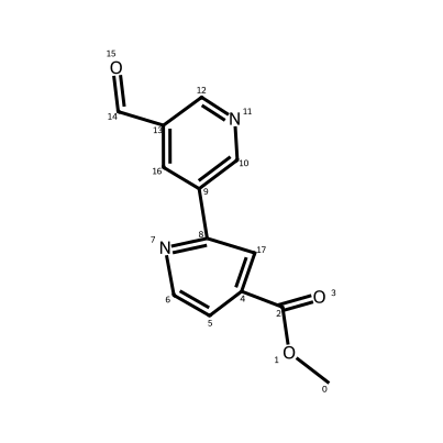 COC(=O)c1ccnc(-c2cncc(C=O)c2)c1